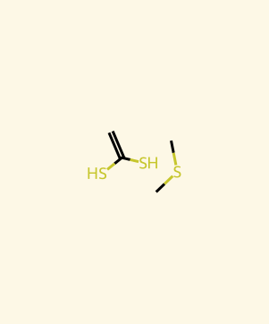 C=C(S)S.CSC